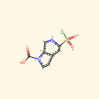 O=C(O)n1ccc2cc(S(=O)(=O)Cl)ncc21